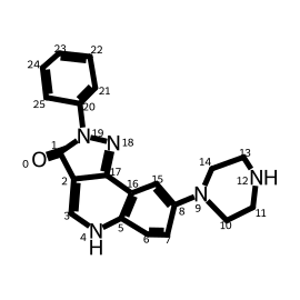 O=c1c2c[nH]c3ccc(N4CCNCC4)cc3c-2nn1-c1ccccc1